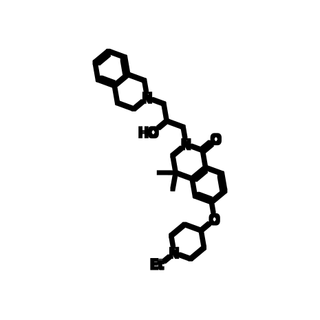 CCN1CCC(Oc2ccc3c(c2)C(C)(C)CN(CC(O)CN2CCc4ccccc4C2)C3=O)CC1